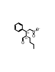 CCCC[C@@H](C=O)[C@H](C[N+](=O)[O-])c1ccccc1